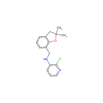 CC1(C)Cc2cccc(CNc3cccnc3Cl)c2O1